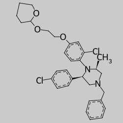 C[C@H]1CN(Cc2ccccc2)C[C@@H](c2ccc(Cl)cc2)N1c1ccc(OCCOC2CCCCO2)cc1Cl